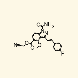 COc1c(C(=O)OCC#N)ccc2c1c(C=Cc1ccc(F)cc1)nn2C(N)=O